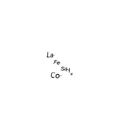 [Co].[Fe].[La].[SiH4]